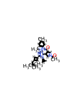 CC(=O)N1C[C@H](C(=O)Nc2ccc(C)cc2C)[C@@H](c2nnc([C@H]3C[C@@H](CC(C)(C)C)C3)n2C2CC2)C1